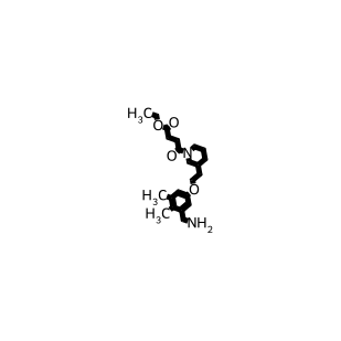 CCOC(=O)CCC(=O)N1CCCC(CCOc2cc(C)c(C)c(CN)c2)C1